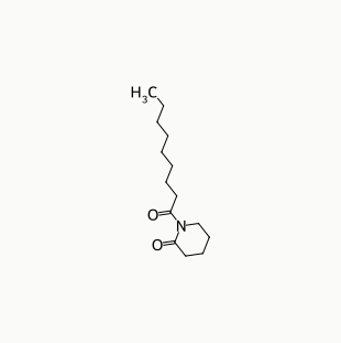 CCCCCCCCC(=O)N1CCCCC1=O